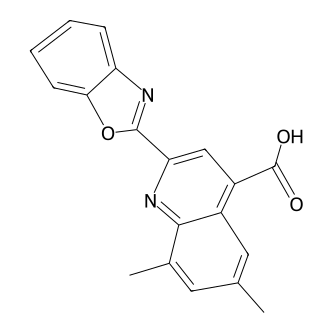 Cc1cc(C)c2nc(-c3nc4ccccc4o3)cc(C(=O)O)c2c1